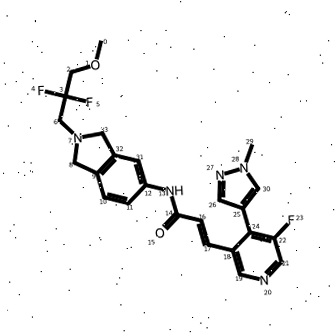 COCC(F)(F)CN1Cc2ccc(NC(=O)/C=C/c3cncc(F)c3-c3cnn(C)c3)cc2C1